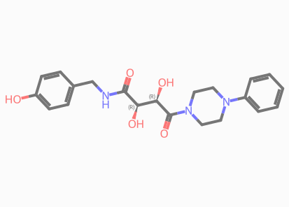 O=C(NCc1ccc(O)cc1)[C@H](O)[C@@H](O)C(=O)N1CCN(c2ccccc2)CC1